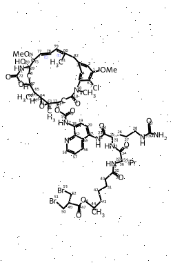 COc1cc2cc(c1Cl)N(C)C(=O)C[C@H](OC(=O)Nc1ccc(NC(=O)[C@H](CCCNC(N)=O)NC(=O)[C@@H](NC(=O)CCCCC(C)OC(=O)C(CBr)CBr)C(C)C)c3cccnc13)[C@]1(C)O[C@H]1[C@H](C)[C@@H]1C[C@@](O)(NC(=O)O1)[C@H](OC)/C=C/C=C(\C)C2